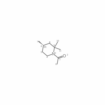 CC(=O)N1CC[C@@H](C)CC1(C)C